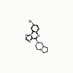 Brc1ccc2nc(N3CCN4CCCC4C3)c3ncnn3c2c1